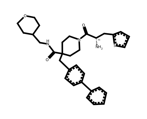 N[C@@H](Cc1cccs1)C(=O)N1CCC(Cc2ccc(-c3ccccc3)cc2)(C(=O)NCC2CCOCC2)CC1